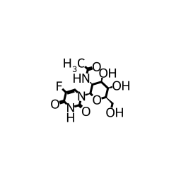 CC(=O)N[C@@H]1[C@@H](O)[C@@H](O)[C@@H](CO)O[C@H]1n1cc(F)c(=O)[nH]c1=O